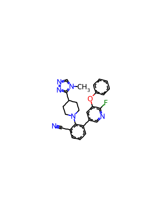 Cn1cnnc1C1CCN(c2c(C#N)cccc2-c2cnc(F)c(Oc3ccccc3)c2)CC1